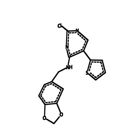 Clc1ncc(-c2cccs2)c(NCc2ccc3c(c2)OCO3)n1